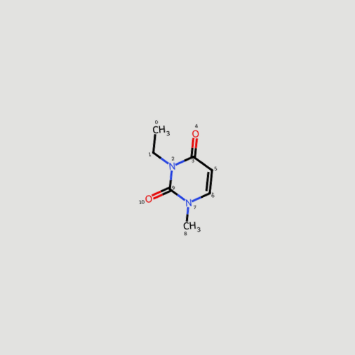 CCn1c(=O)c[c]n(C)c1=O